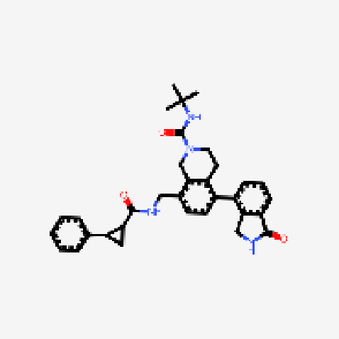 CC(C)(C)NC(=O)N1CCc2c(-c3cccc4c3CNC4=O)ccc(CNC(=O)C3C[C@H]3c3ccccc3)c2C1